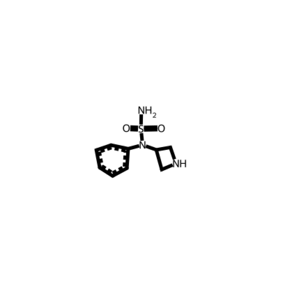 NS(=O)(=O)N(c1ccccc1)C1CNC1